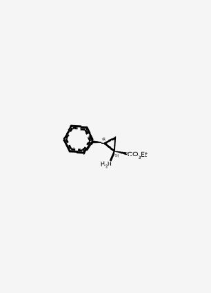 CCOC(=O)[C@]1(N)C[C@@H]1c1ccccc1